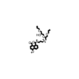 C=CCOCC(O)COC(COCC=C)C[N+](C)(C)CCCN(C)C(=O)c1cccc2c(OC)ccc(C=O)c12